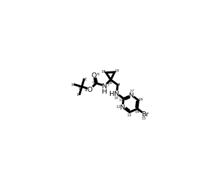 CC(C)(C)OC(=O)NC1(CNc2ncc(Br)cn2)CC1